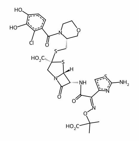 CC(C)(O/N=C(\C(=O)N[C@@H]1C(=O)N2C[C@](SC[C@H]3COCCN3C(=O)c3ccc(O)c(O)c3Cl)(C(=O)O)S[C@H]12)c1csc(N)n1)C(=O)O